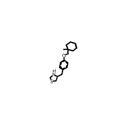 CC1(COc2ccc(CC3CSCN3)cc2)CCCCC1